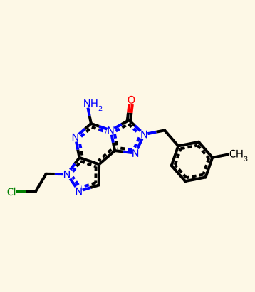 Cc1cccc(Cn2nc3c4cnn(CCCl)c4nc(N)n3c2=O)c1